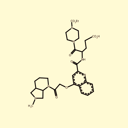 CCOC(=O)N1CCN(C(=O)C(CCC(=O)O)NC(=O)c2cc(OCC(=O)N3CCCC4CN(C)CC43)c3ccccc3n2)CC1